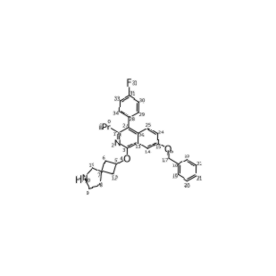 CC(C)c1nc(OC2CC3(CCNC3)C2)c2cc(OCc3ccccc3)ccc2c1-c1ccc(F)cc1